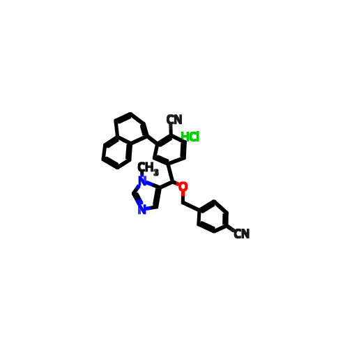 Cl.Cn1cncc1C(OCc1ccc(C#N)cc1)c1ccc(C#N)c(-c2cccc3ccccc23)c1